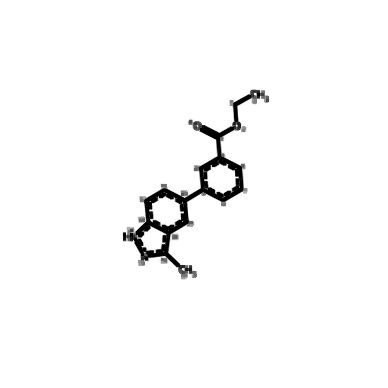 CCOC(=O)c1cccc(-c2ccc3[nH]nc(C)c3c2)c1